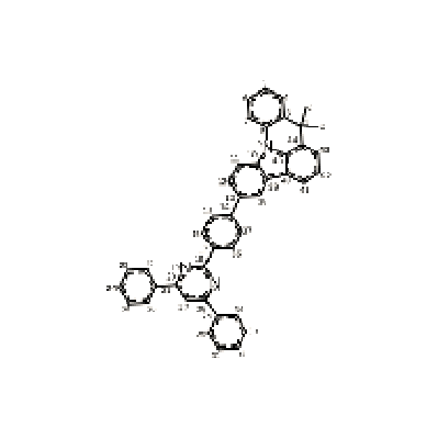 CC1(C)c2ccccc2-n2c3ccc(-c4ccc(-c5nc(-c6ccccc6)cc(-c6ccccc6)n5)cc4)cc3c3cccc1c32